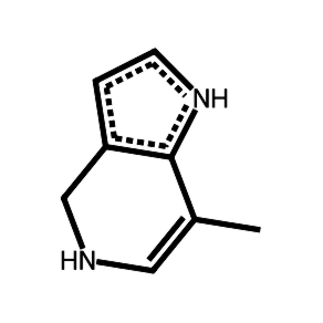 CC1=CNCc2cc[nH]c21